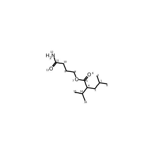 CC(C)CC(C(=O)OCCCC(N)=O)C(C)C